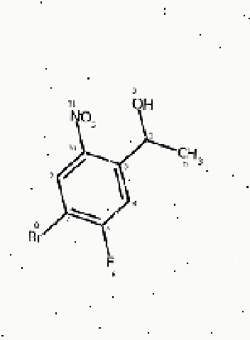 CC(O)c1cc(F)c(Br)cc1[N+](=O)[O-]